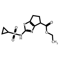 CCOC(=O)C1CCc2sc(NS(=O)(=O)C3CC3)nc21